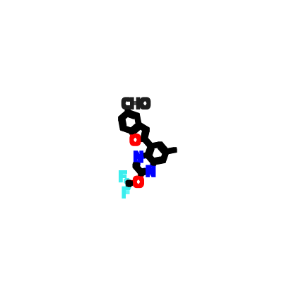 Cc1cc(-c2cc3cc(C=O)ccc3o2)c2ncc(OC(F)F)nc2c1